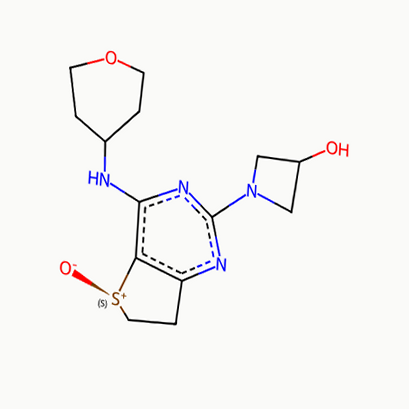 [O-][S@+]1CCc2nc(N3CC(O)C3)nc(NC3CCOCC3)c21